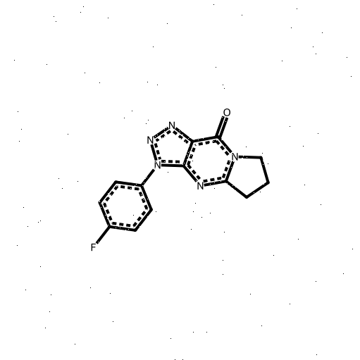 O=c1c2nnn(-c3ccc(F)cc3)c2nc2n1CCC2